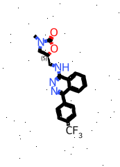 CN1C[C@H](CNc2nnc(-c3ccc(C(F)(F)F)cc3)c3ccccc23)OC1=O